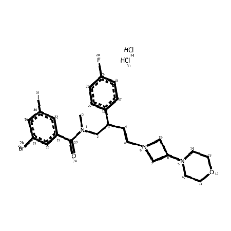 CN(CC(CCN1CC(N2CCOCC2)C1)c1ccc(F)cc1)C(=O)c1cc(Br)cc(I)c1.Cl.Cl